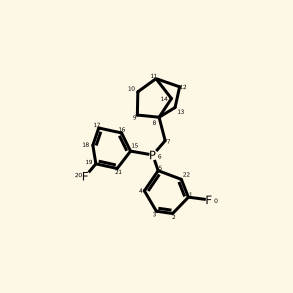 Fc1cccc(P(CC23CCC(CC2)C3)c2cccc(F)c2)c1